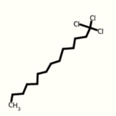 CCCCCCCCCCCCCC(Cl)(Cl)Cl